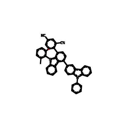 Cc1cccc(C)c1-n1c2ccccc2c2c(-c3ccc4c(c3)c3ccccc3n4-c3ccccc3)ccc(-c3ccc(C#N)cc3C#N)c21